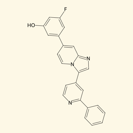 Oc1cc(F)cc(-c2ccn3c(-c4ccnc(-c5ccccc5)c4)cnc3c2)c1